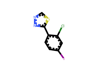 Clc1cc(I)ccc1-c1nncs1